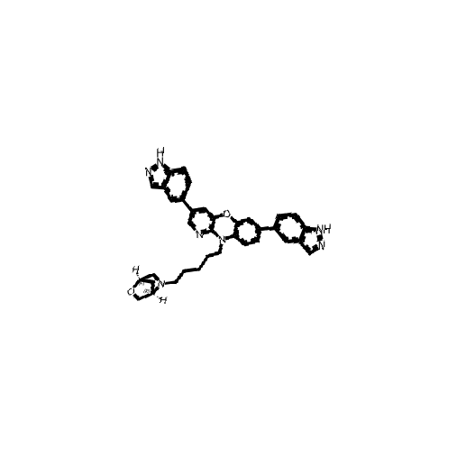 c1cc2c(cc1-c1ccc3[nH]ncc3c1)Oc1cc(-c3ccc4[nH]ncc4c3)cnc1N2CCCCCN1C[C@H]2C[C@@H]1CO2